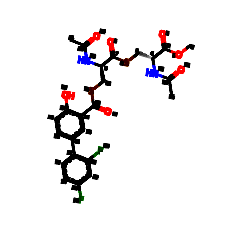 COC(=O)[C@@H](CSC(=O)[C@@H](CSC(=O)c1cc(-c2ccc(F)cc2F)ccc1O)NC(C)=O)NC(C)=O